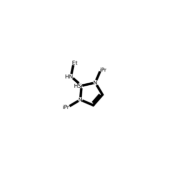 CCN[SiH]1N(C(C)C)C=CN1C(C)C